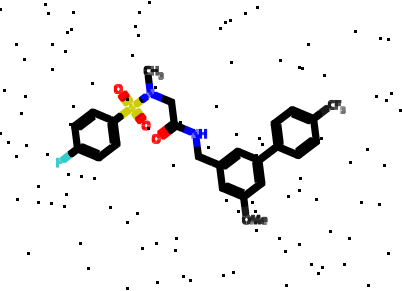 COc1cc(CNC(=O)CN(C)S(=O)(=O)c2ccc(F)cc2)cc(-c2ccc(C(F)(F)F)cc2)c1